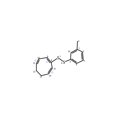 Cc1cccc(SSC2=C/C=C\CC/C=C\2)c1